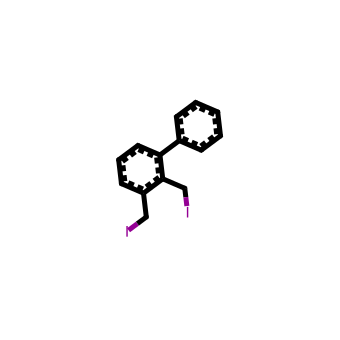 ICc1cccc(-c2ccccc2)c1CI